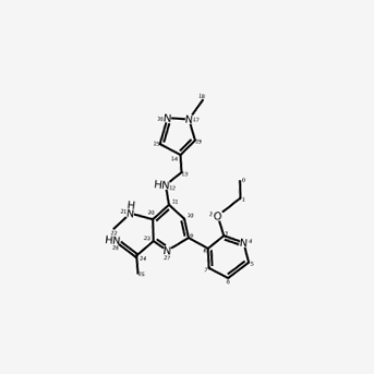 CCOc1ncccc1-c1cc(NCc2cnn(C)c2)c(NC)c(C(C)=N)n1